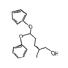 CC(CO)CCC(Oc1cc[c]cc1)Oc1ccccc1